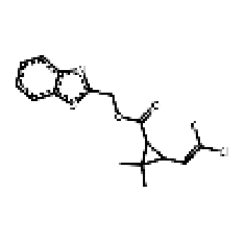 CC1(C)C(C=C(Cl)Cl)C1C(=O)OCc1nc2ccccc2s1